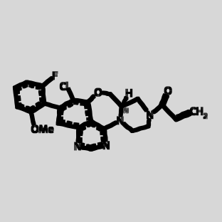 C=CC(=O)N1CCN2c3ncnc4cc(-c5c(F)cccc5OC)c(Cl)c(c34)OC[C@@H]2C1